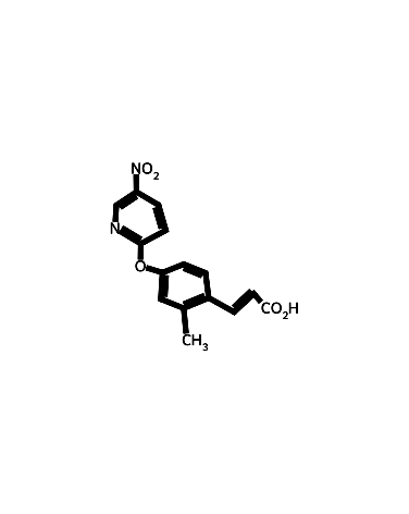 Cc1cc(Oc2ccc([N+](=O)[O-])cn2)ccc1C=CC(=O)O